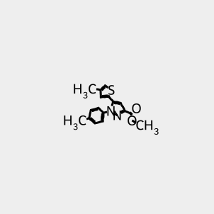 COC(=O)c1cc(-c2cc(C)cs2)n(-c2ccc(C)cc2)n1